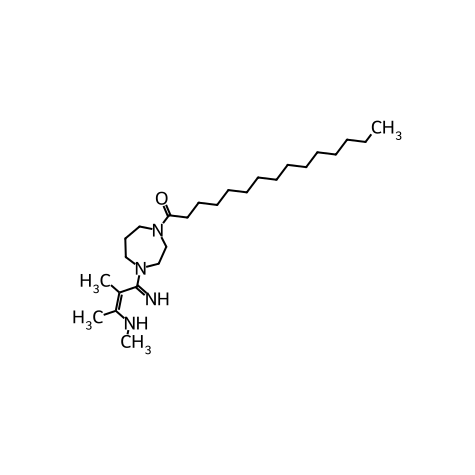 CCCCCCCCCCCCCCC(=O)N1CCCN(C(=N)/C(C)=C(/C)NC)CC1